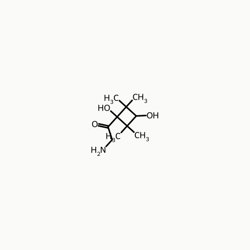 CC1(C)C(O)C(C)(C)C1(O)C(=O)CN